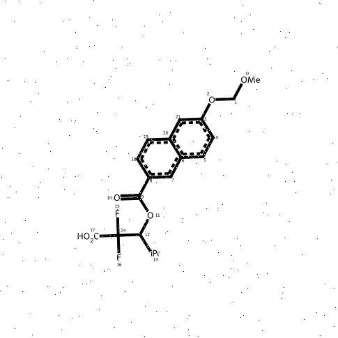 COCOc1ccc2cc(C(=O)OC(C(C)C)C(F)(F)C(=O)O)ccc2c1